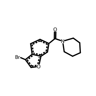 O=C(c1ccc2c(Br)coc2c1)N1CCCCC1